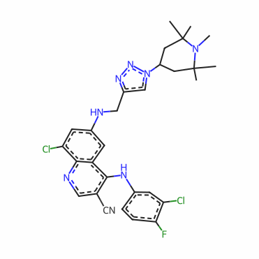 CN1C(C)(C)CC(n2cc(CNc3cc(Cl)c4ncc(C#N)c(Nc5ccc(F)c(Cl)c5)c4c3)nn2)CC1(C)C